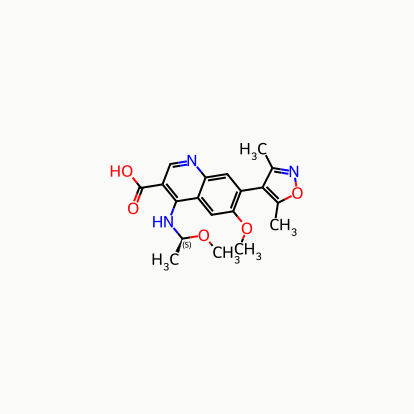 COc1cc2c(N[C@H](C)OC)c(C(=O)O)cnc2cc1-c1c(C)noc1C